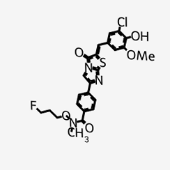 COc1cc(/C=c2\sc3nc(-c4ccc(C(=O)N(C)OCCCF)cc4)cn3c2=O)cc(Cl)c1O